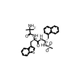 CC(C)(N)C(=O)N[C@H](Cc1csc2ccccc12)C(=O)N[C@H](Cc1cccc2ccccc12)NS(C)(=O)=O